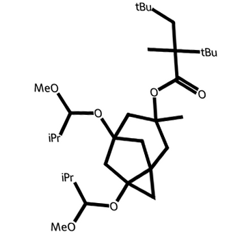 COC(OC12CC(C)(OC(=O)C(C)(CC(C)(C)C)C(C)(C)C)CC3(C1)CC3(OC(OC)C(C)C)C2)C(C)C